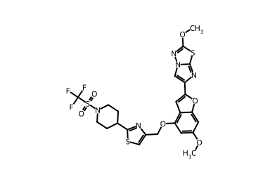 COc1cc(OCc2csc(C3CCN(S(=O)(=O)C(F)(F)F)CC3)n2)c2cc(-c3cn4nc(OC)sc4n3)oc2c1